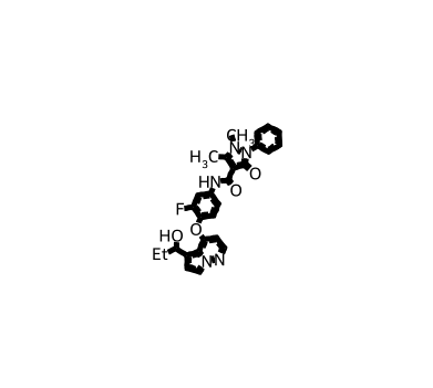 CCC(O)c1ccn2nccc(Oc3ccc(NC(=O)c4c(C)n(C)n(-c5ccccc5)c4=O)cc3F)c12